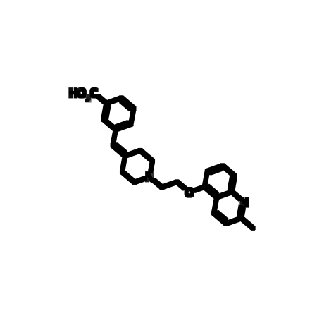 Cc1ccc2c(OCCN3CCC(=Cc4cccc(C(=O)O)c4)CC3)cccc2n1